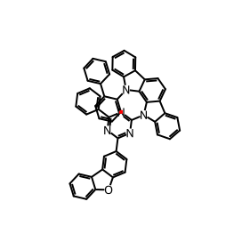 c1ccc(-c2nc(-c3ccc4oc5ccccc5c4c3)nc(-n3c4ccccc4c4ccc5c6ccccc6n(-c6ccccc6-c6ccccc6)c5c43)n2)cc1